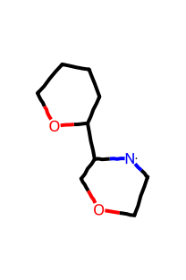 C1CCC(C2COCC[N]2)OC1